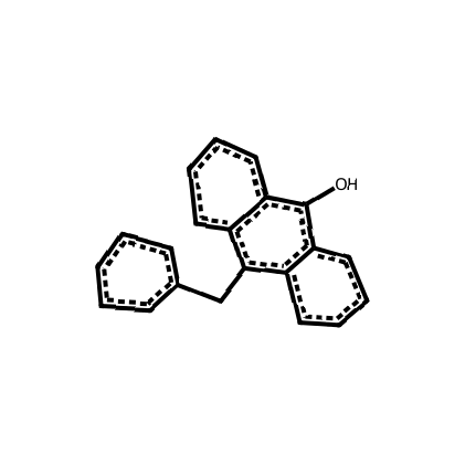 Oc1c2ccccc2c(Cc2ccccc2)c2ccccc12